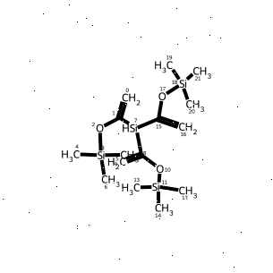 C=C(O[Si](C)(C)C)[SiH](C(=C)O[Si](C)(C)C)C(=C)O[Si](C)(C)C